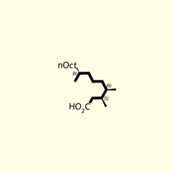 CCCCCCCC[C@@H](C)CCC[C@@H](C)[C@@H](C)CC(=O)O